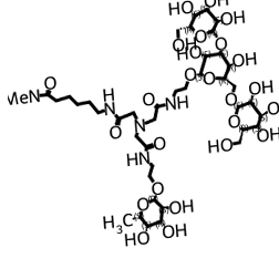 CNC(=O)CCCCCNC(=O)CN(CC(=O)NCCO[C@@H]1O[C@@H](C)[C@@H](O)[C@@H](O)[C@@H]1O)CC(=O)NCCO[C@H]1O[C@H](CO[C@H]2O[C@H](CO)[C@@H](O)[C@H](O)[C@@H]2O)[C@@H](O)[C@H](O[C@H]2O[C@H](CO)[C@@H](O)[C@H](O)[C@@H]2O)[C@@H]1O